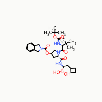 CC(C)(C)OC(=O)N[C@H](C(=O)N1C[C@H](OC(=O)N2Cc3ccccc3C2)C[C@H]1C(=O)N[C@@H](CC1CCC1)B(O)O)C(C)(C)C